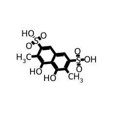 Cc1c(S(=O)(=O)O)cc2cc(S(=O)(=O)O)c(C)c(O)c2c1O